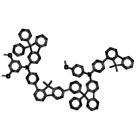 COc1ccc(N(c2ccc(-c3cccc4c3C(C)(C)c3ccccc3-4)cc2)c2ccc3c(c2)C(c2ccccc2)(c2cccc(-c4ccc5c(c4)C(C)(C)c4c(-c6ccc(N(c7cc(OC)cc(OC)c7)c7ccc8c(c7)C(c7ccccc7)(c7ccccc7)c7ccccc7-8)cc6)cccc4-5)c2)c2ccccc2-3)cc1